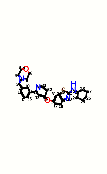 c1cc(CN2CCOCC2)cc(-c2cc(Oc3ccc4nc(NC5CCCCC5)sc4c3)ccn2)c1